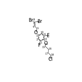 Fc1cc(OCC=C(Br)Br)cc(F)c1OCCCCCl